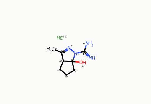 CC1=NN(C(=N)N)C2(O)CCCC12.Cl